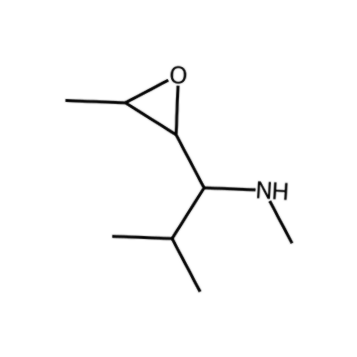 CNC(C(C)C)C1OC1C